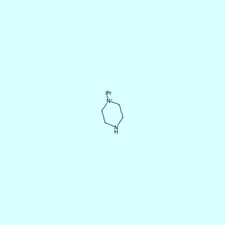 CC(C)[N+]1CCNCC1